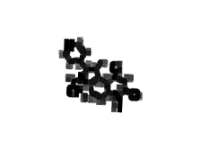 Cc1c(-c2ccncc2)n(CC(F)(F)F)c2ccc3[nH]c(=O)cc(Cl)c3c12